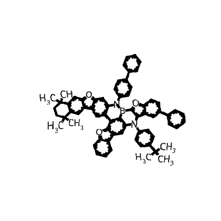 CC(C)(C)c1ccc(N2c3cc4c(oc5ccccc54)c4c3B(c3oc5ccc(-c6ccccc6)cc5c32)N(c2ccc(-c3ccccc3)cc2)c2cc3oc5cc6c(cc5c3cc2-4)C(C)(C)CCC6(C)C)cc1